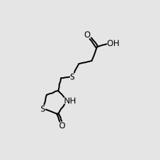 O=C(O)CCSCC1CSC(=O)N1